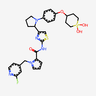 O=C(Nc1nc(C2CCCN2c2ccc(OC3CCS(O)(O)CC3)cc2)cs1)c1cccn1Cc1ccnc(F)c1